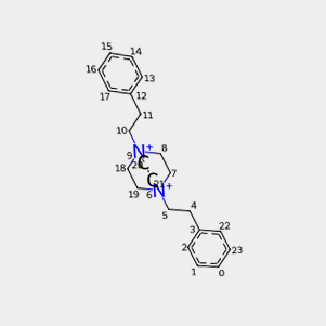 c1ccc(CC[N+]23CC[N+](CCc4ccccc4)(CC2)CC3)cc1